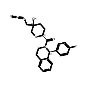 [N-]=[N+]=NC[C@]1(O)CC[C@H](C(=O)N2CCc3ccccc3[C@@H]2c2ccc(F)cc2)OC1